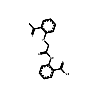 CC(=O)c1ccccc1NCC(=O)Nc1ccccc1C(=O)O